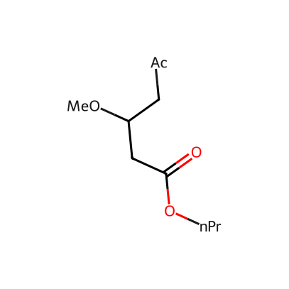 CCCOC(=O)CC(CC(C)=O)OC